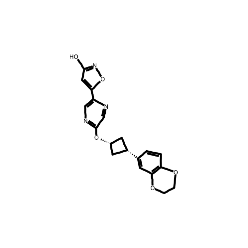 Oc1cc(-c2cnc(O[C@H]3C[C@@H](c4ccc5c(c4)OCCO5)C3)cn2)on1